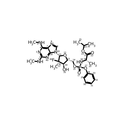 CNc1nc(NC)c2ncn([C@@H]3O[C@H](COP(=O)(N[C@@H](C)C(=O)OC(C)C)Oc4ccccc4)[C@@H](O)[C@@]3(C)F)c2n1